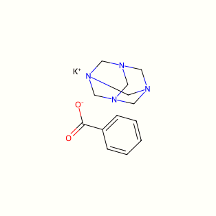 C1N2CN3CN1CN(C2)C3.O=C([O-])c1ccccc1.[K+]